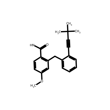 COc1ccc(C([NH])=O)c(Cc2ccccc2C#CC(C)(C)C)c1